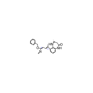 C=N/C(=C\C=C(/C)c1cccc2c1N[C@H](C)CC(=O)N2)OCc1ccccc1